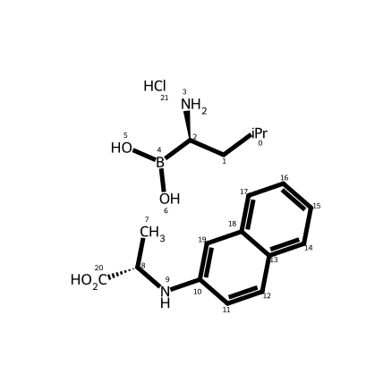 CC(C)C[C@H](N)B(O)O.C[C@H](Nc1ccc2ccccc2c1)C(=O)O.Cl